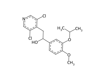 COc1ccc(C(O)Cc2c(Cl)cncc2Cl)cc1OC(C)C